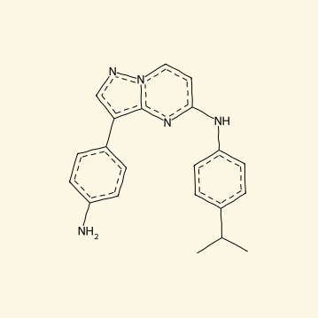 CC(C)c1ccc(Nc2ccn3ncc(-c4ccc(N)cc4)c3n2)cc1